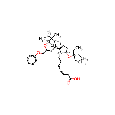 CC[Si](CC)(CC)O[C@H]1CC=C(CCC(COc2ccccc2)O[Si](C)(C)C(C)(C)C)[C@H]1CCC=C=CCC(=O)O